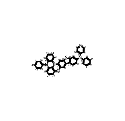 c1ccc(N(c2ccncc2)c2ccc3c(c2)sc2cc4c(cc23)Oc2cccc3c2B4c2ccccc2N3c2ccccc2)cc1